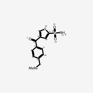 CNCc1ccc(C(=O)c2csc(S(N)(=O)=O)c2)cc1